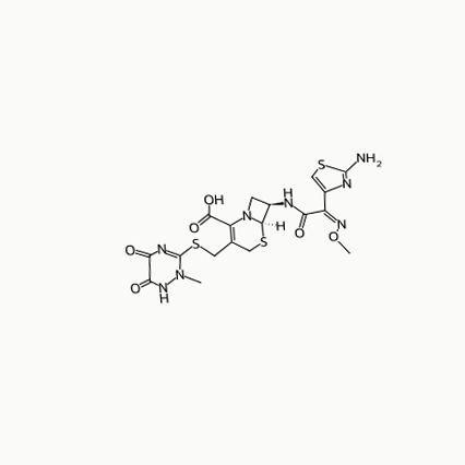 CO/N=C(\C(=O)N[C@@H]1CN2C(C(=O)O)=C(CSc3nc(=O)c(=O)[nH]n3C)CS[C@H]12)c1csc(N)n1